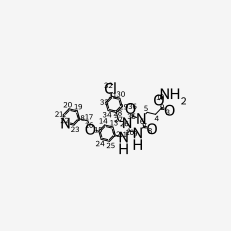 NOC(=O)CCN1C(=O)NC(Nc2ccc(OCc3cccnc3)cc2)N(Cc2ccc(Cl)cc2)C1=O